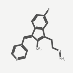 CC1=C(CCON)c2cc(F)ccc2C1=Cc1ccncc1